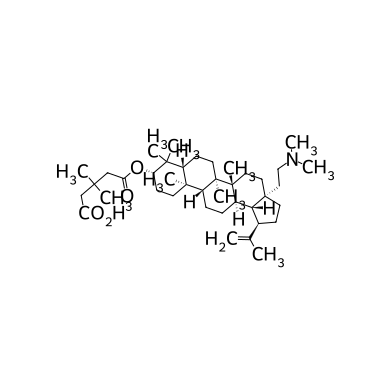 C=C(C)[C@@H]1CC[C@]2(CCN(C)C)CC[C@]3(C)[C@H](CC[C@@H]4[C@@]5(C)CC[C@H](OC(=O)CC(C)(C)CC(=O)O)C(C)(C)[C@@H]5CC[C@]43C)[C@@H]12